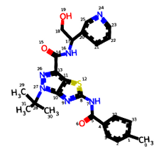 Cc1ccc(C(=O)Nc2nc3c(s2)c(C(=O)NC(CO)c2cccnc2)nn3C(C)(C)C)cc1